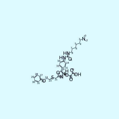 CN(C)CCCCCCNC(=O)Nc1ccc(-c2nnc(CSCCOc3ccccc3)o2)cc1.O=C(O)C(=O)O